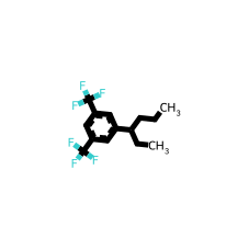 CCCC(CC)c1cc(C(F)(F)F)cc(C(F)(F)F)c1